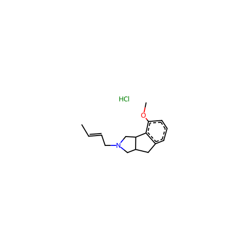 CC=CCN1CC2Cc3cccc(OC)c3C2C1.Cl